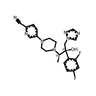 C[C@@H](N1CCN(c2ccc(C#N)nc2)CC1)[C@](O)(Cn1cncn1)c1ccc(F)cc1F